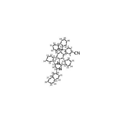 N#Cc1ccc2c(c1)-c1ccc(-c3ccccc3-c3cc(-c4ccc5ccccc5c4)nc(-c4ccccc4)n3)cc1C2(c1ccccc1)c1ccccc1